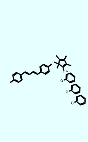 CC1=C(C)C(C)(C)[C]([Ti+3])=C1C.Cc1ccc(C=CC=Cc2ccc(C)cc2)cc1.[O-]c1ccccc1.[O-]c1ccccc1.[O-]c1ccccc1